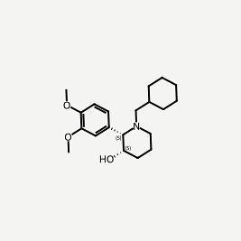 COc1ccc([C@H]2[C@@H](O)CCCN2CC2CCCCC2)cc1OC